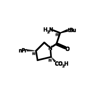 CCC[C@H]1C[C@@H](C(=O)O)N(C(=O)[C@@H](N)C(C)(C)C)C1